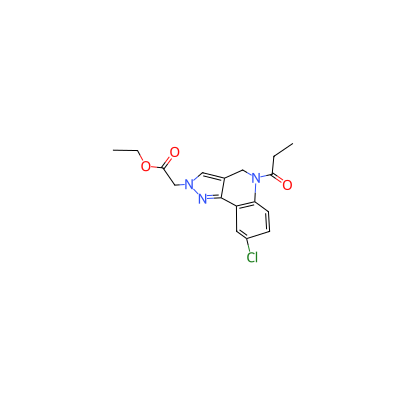 CCOC(=O)Cn1cc2c(n1)-c1cc(Cl)ccc1N(C(=O)CC)C2